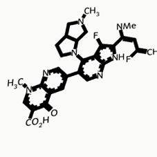 C=C(F)/C=C(/NC)c1[nH]c2ncc(-c3cnc4c(c3)c(=O)c(C(=O)O)cn4C)c(N3CCC4CN(C)CC43)c2c1F